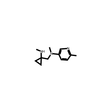 CNC1(CN(C)c2ccc(C)nc2)CC1